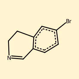 Brc1ccc2c(c1)CCN=C2